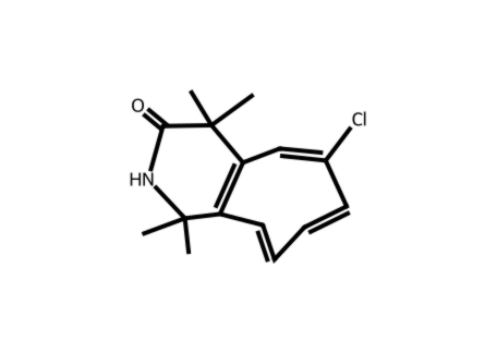 CC1(C)NC(=O)C(C)(C)C2=C1/C=C/C=C/C(Cl)=C\2